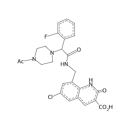 CC(=O)N1CCN(C(C(=O)NCc2cc(Cl)cc3cc(C(=O)O)c(=O)[nH]c23)c2ccccc2F)CC1